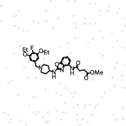 CCOc1cc(CN2CCC(Nc3nc4c(NC(=O)CCC(=O)OC)cccc4o3)CC2)cc(OCC)c1F